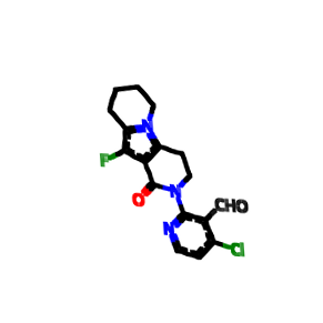 O=Cc1c(Cl)ccnc1N1CCc2c(c(F)c3n2CCCC3)C1=O